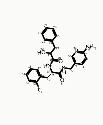 Nc1ccc(CNC(=O)[C@H](Cc2ccccc2F)NC(=O)C(O)Cc2ccccc2)cn1